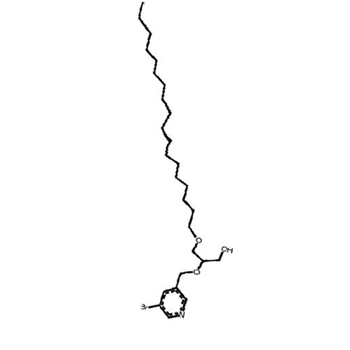 CCCCCCCCCCCCCCCCCCOCC(CO)OCc1cncc(Br)c1